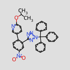 CC(C)Oc1ccc(-c2ccc([N+](=O)[O-])cc2-c2nnn(C(c3ccccc3)(c3ccccc3)c3ccccc3)n2)cn1